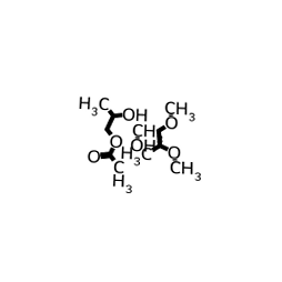 CC(=O)OCC(C)O.CO.COCC(C)OC